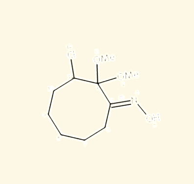 COC1(OC)/C(=N/O)CCCCCC1Cl